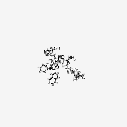 CC(C)(O)c1cnnn1[C@H]1C[C@@H](C(=O)NC(CCCCNC(=O)NS(=O)(=O)C2CC2)C(O)C(N)=O)N(C(=O)[C@@H](CC2CCCCC2)NC(=O)c2ccc3ccccc3c2)C1